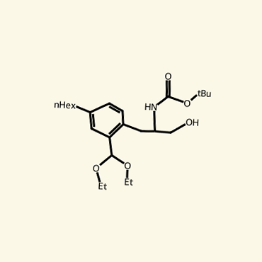 CCCCCCc1ccc(CC(CO)NC(=O)OC(C)(C)C)c(C(OCC)OCC)c1